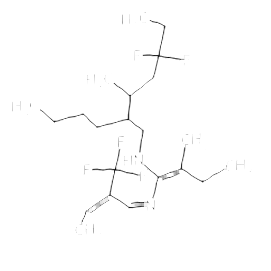 C\C=C(/C=N\C(NCC(CCCC)C(C)CC(F)(F)CC)=C(\C)CC)C(F)(F)F